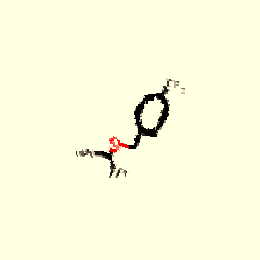 CCCC(CCC)OCc1ccc(C(F)(F)F)cc1